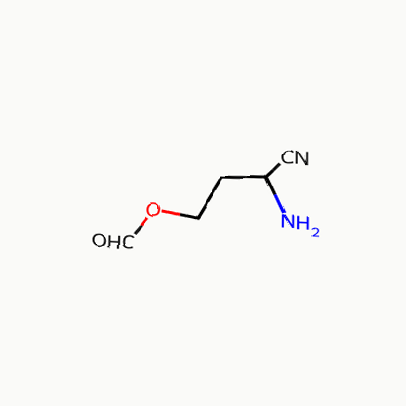 N#CC(N)CCOC=O